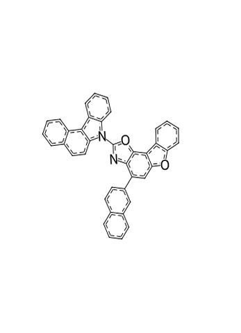 c1ccc2cc(-c3cc4oc5ccccc5c4c4oc(-n5c6ccccc6c6c7ccccc7ccc65)nc34)ccc2c1